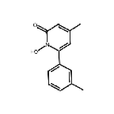 Cc1cccc(-c2cc(C)cc(=O)n2O)c1